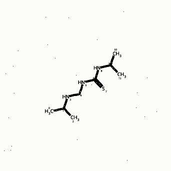 CC(C)NCNC(=S)NC(C)C